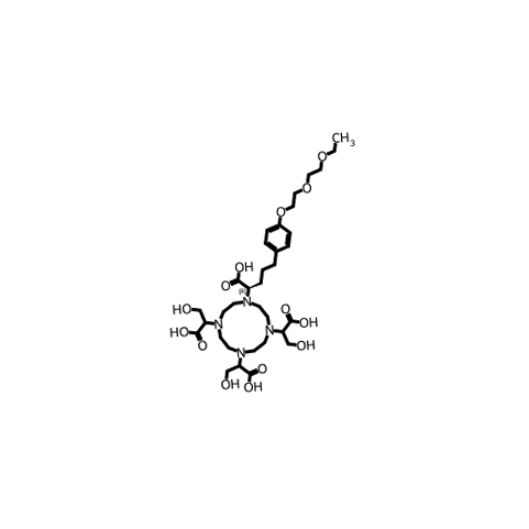 CCOCCOCCOc1ccc(CCC[C@H](C(=O)O)N2CCN(C(CO)C(=O)O)CCN(C(CO)C(=O)O)CCN(C(CO)C(=O)O)CC2)cc1